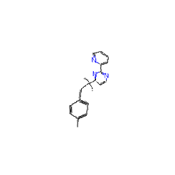 Cc1ccc(CC(C)(C)c2ccnc(-c3ccccn3)n2)cc1